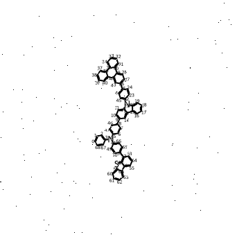 c1ccc(N(c2ccc(-c3ccc4c(c3)c3ccccc3n4-c3ccc(-c4ccc5c6ccccc6c6ccccc6c5c4)cc3)cc2)c2ccc(-c3cccc4c3sc3ccccc34)cc2)cc1